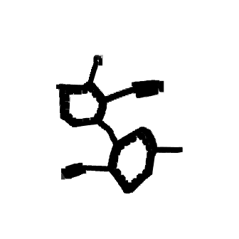 Cc1ccc(C#N)c(-c2cc[c]c(Cl)c2C#N)c1